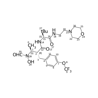 C[C@@H]([C@@H](Cc1ccc(OC(F)(F)F)cc1)C(=O)N[C@H](C(=O)NCCN1CCOCC1)C(C)(C)C)N(O)C=O